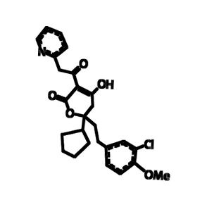 COc1ccc(CCC2(C3CCCC3)CC(O)=C(C(=O)Cc3ccccn3)C(=O)O2)cc1Cl